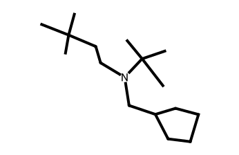 CC(C)(C)CCN(CC1CCCC1)C(C)(C)C